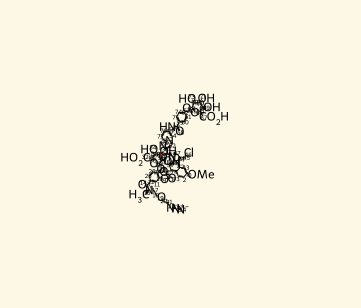 COc1ccc2c(S(=O)(=O)Oc3cc(C(=O)N(C)CCOCCN=[N+]=[N-])ccc3O[C@@H]3O[C@H](C(=O)O)[C@@H](O)[C@H](O)[C@H]3O)cc3c(c2c1)[C@H](CCl)CN3C(=O)c1cn2cc(NC(=O)c3ccc(OC4O[C@H](C(=O)O)[C@@H](O)[C@H](O)[C@H]4O)cc3)ccc2n1